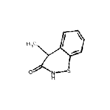 CC1C(=O)NSc2ccccc21